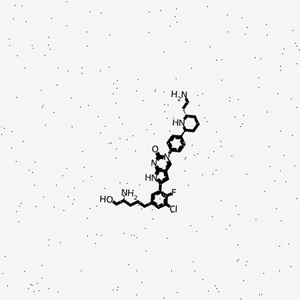 NCC[C@@H]1CCC[C@@H](c2ccc(-n3cc4cc(-c5cc(CCC[C@@H](N)CO)cc(Cl)c5F)[nH]c4nc3=O)cc2)N1